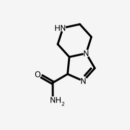 NC(=O)C1N=CN2CCNCC12